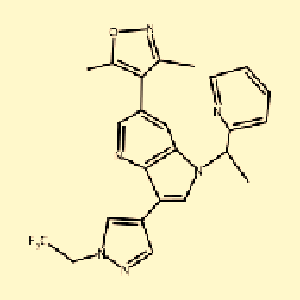 Cc1noc(C)c1-c1cnc2c(-c3cnn(CC(F)(F)F)c3)cn(C(C)c3ccccn3)c2c1